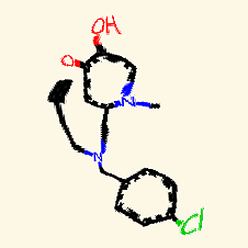 C#CCN(Cc1ccc(Cl)cc1)Cc1cc(=O)c(O)cn1C